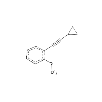 FC(F)(F)Sc1ccccc1C#CC1CC1